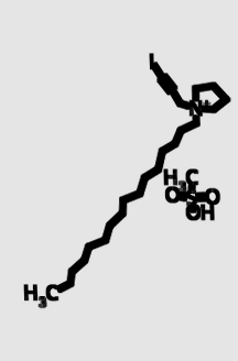 CCCCCCCCCCCCCCCC[N+]1(CC#CI)CCCC1.CS(=O)(=O)O